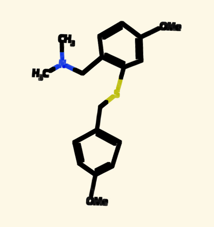 COc1ccc(CSc2cc(OC)ccc2CN(C)C)cc1